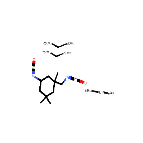 CC1(C)CC(N=C=O)CC(C)(CN=C=O)C1.CCCCCCCCCCCC(=O)[O-].CCCCCCCCCCCC(=O)[O-].CCC[CH2][Sn+2][CH2]CCC